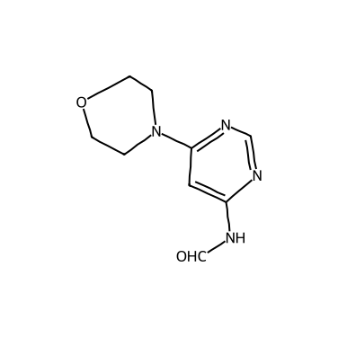 O=CNc1cc(N2CCOCC2)ncn1